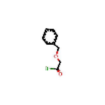 O=C(Br)COCc1ccccc1